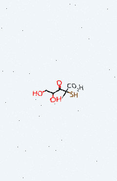 CC(S)(C(=O)O)C(=O)C(O)CO